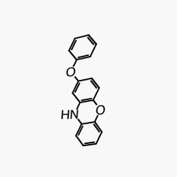 c1ccc(Oc2ccc3c(c2)Nc2ccccc2O3)cc1